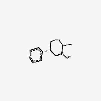 CC(C)P1C[C@H](c2ccccc2)CC[C@H]1C